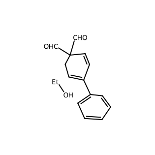 CCO.O=CC1(C=O)C=CC(c2ccccc2)=CC1